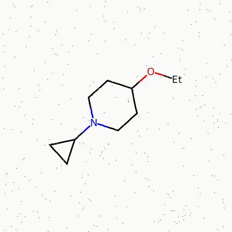 CCOC1CCN(C2CC2)CC1